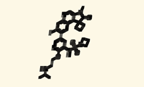 CC(C)NCCOc1ncc(-c2cc3c4c(cnc3cc2F)N(C)C(=O)C42CCC2)cc1NS(=O)(=O)N1CCC1